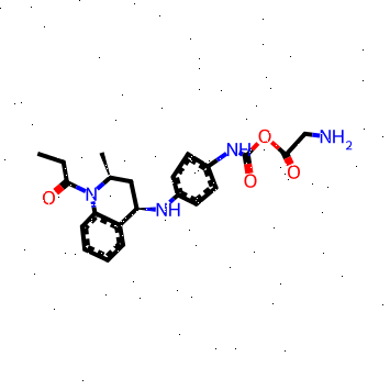 CCC(=O)N1c2ccccc2[C@H](Nc2ccc(NC(=O)OC(=O)CN)cc2)C[C@@H]1C